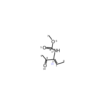 C/C=C(\NC(=O)OC)C(C)=O